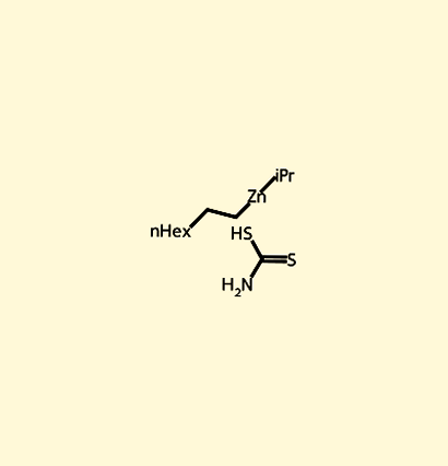 CCCCCCC[CH2][Zn][CH](C)C.NC(=S)S